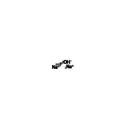 [F-].[Na+].[Na+].[OH-]